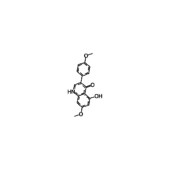 COc1ccc(-c2c[nH]c3cc(OC)cc(O)c3c2=O)cc1